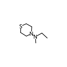 CCN(C)N1CCSCC1